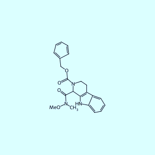 CON(C)C(=O)C1c2[nH]c3ccccc3c2CCN1C(=O)OCc1ccccc1